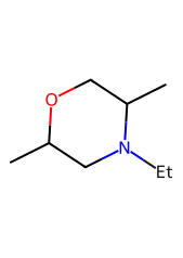 CCN1CC(C)OCC1C